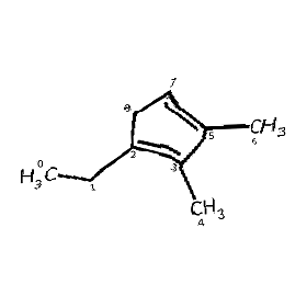 CCC1=C(C)C(C)=[C]C1